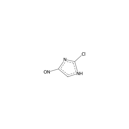 O=Nc1c[nH]c(Cl)n1